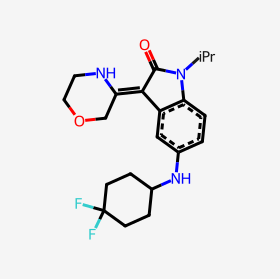 CC(C)N1C(=O)/C(=C2/COCCN2)c2cc(NC3CCC(F)(F)CC3)ccc21